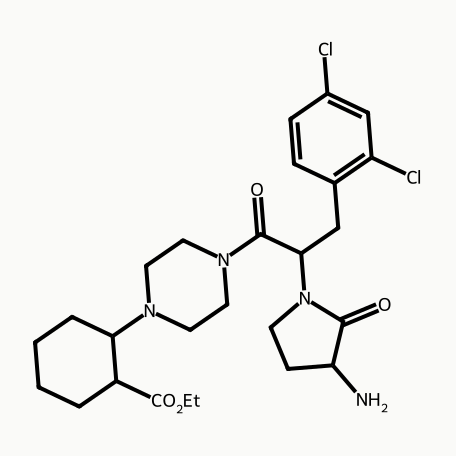 CCOC(=O)C1CCCCC1N1CCN(C(=O)C(Cc2ccc(Cl)cc2Cl)N2CCC(N)C2=O)CC1